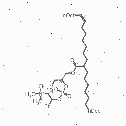 CCCCCCCC/C=C\CCCCCCC(CCCCCCCCCCCCCCCC)C(=O)OC[C@H](CO)OP(=O)([O-])OC(CC)C[N+](C)(C)C